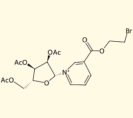 CC(=O)OC[C@H]1O[C@@H]([n+]2cccc(C(=O)OCCBr)c2)[C@H](OC(C)=O)[C@@H]1OC(C)=O